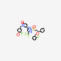 COc1ccc(Cn2cc(-c3cc(C(F)F)nc([S+]([O-])CCC(OCc4ccccc4F)c4ccccc4)n3)ccc2=O)cc1F